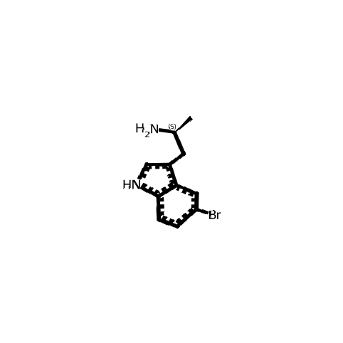 C[C@H](N)Cc1c[nH]c2ccc(Br)cc12